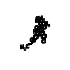 CCCc1cc2cc(/N=c3\[nH]c(=O)n([C@@H](C)CC(=O)OC)c(=O)n3CC3C=CC(Cl)=CC3)ccc2o1